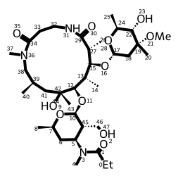 CCC(=O)N(C)[C@H]1C[C@@H](C)O[C@@H](O[C@@H]2[C@@H](C)[C@H](O[C@H]3C[C@@](C)(OC)[C@@H](O)[C@H](C)O3)[C@@H](C)C(=O)NCCC(=O)N(C)C[C@H](C)C[C@@]2(C)O)[C@@H]1CO